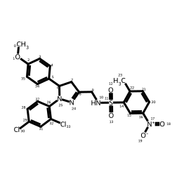 COc1ccc(C2CC(CNS(=O)(=O)c3cc([N+](=O)[O-])ccc3C)=NN2c2ccc(Cl)cc2Cl)cc1